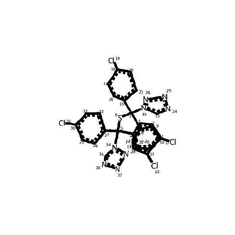 Clc1ccc(C(SC(c2ccc(Cl)cc2)(c2ccc(Cl)cc2)n2cnnn2)(c2ccc(Cl)cc2)n2cnnn2)cc1